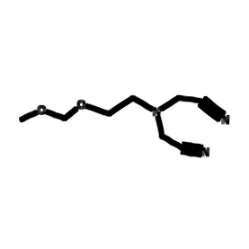 COCOCCN(CC#N)CC#N